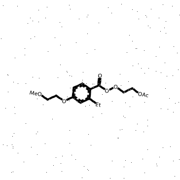 CCc1cc(OCCOC)ccc1C(=O)OOCCOC(C)=O